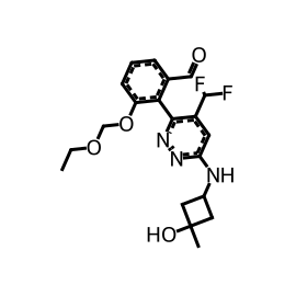 CCOCOc1cccc(C=O)c1-c1nnc(NC2CC(C)(O)C2)cc1C(F)F